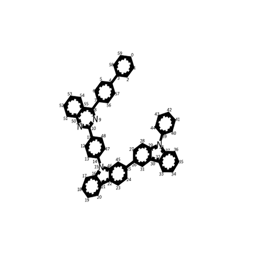 c1ccc(-c2ccc(-c3nc(-c4ccc(-n5c6ccccc6c6ccc(-c7ccc8c(c7)c7ccccc7n8-c7ccccc7)cc65)cc4)nc4ccccc34)cc2)cc1